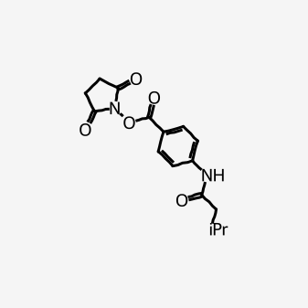 CC(C)CC(=O)Nc1ccc(C(=O)ON2C(=O)CCC2=O)cc1